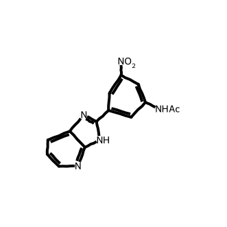 CC(=O)Nc1cc(-c2nc3cccnc3[nH]2)cc([N+](=O)[O-])c1